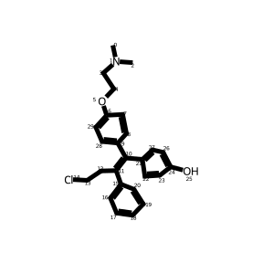 CN(C)CCOc1ccc(/C(=C(\CCCl)c2ccccc2)c2ccc(O)cc2)cc1